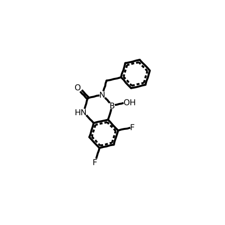 O=C1Nc2cc(F)cc(F)c2B(O)N1Cc1ccccc1